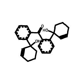 O=C(c1ccccc1C1(O)C#CCCC1)c1ccccc1C1(O)C#CCCC1